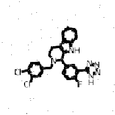 Fc1ccc(C2c3[nH]c4ccccc4c3CCN2Cc2ccc(Cl)c(Cl)c2)cc1-c1nnn[nH]1